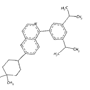 CC(C)c1cc(-c2nccc3cc(C4CCC(C)(C)CC4)ccc23)cc(C(C)C)c1